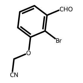 N#CCOc1cccc(C=O)c1Br